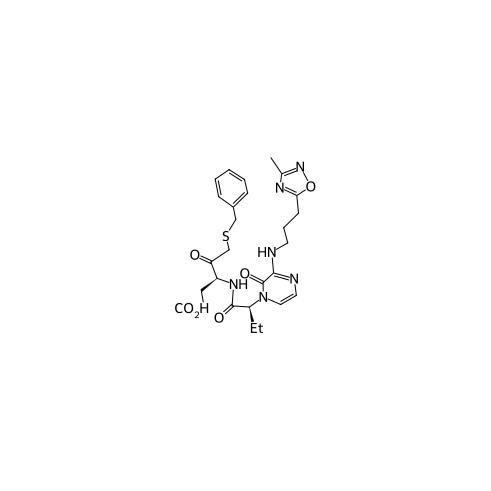 CC[C@@H](C(=O)N[C@@H](CC(=O)O)C(=O)CSCc1ccccc1)n1ccnc(NCCCc2nc(C)no2)c1=O